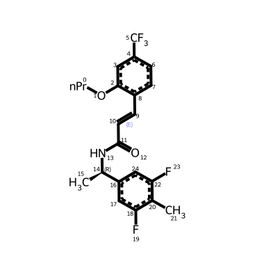 CCCOc1cc(C(F)(F)F)ccc1/C=C/C(=O)N[C@H](C)c1cc(F)c(C)c(F)c1